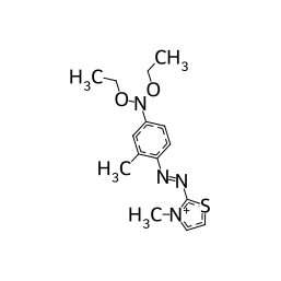 CCON(OCC)c1ccc(/N=N/c2scc[n+]2C)c(C)c1